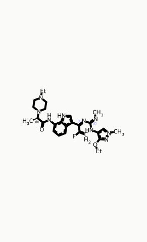 C=C(F)/C(=N\C(=N/C)Nc1cn(C)nc1OCC)c1c[nH]c2c(NC(=O)[C@@H](C)N3CCN(CC)CC3)cccc12